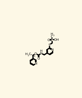 C[C@H](OC(=O)NCc1ccnc(SCP(C)(=O)O)c1)c1cccnc1